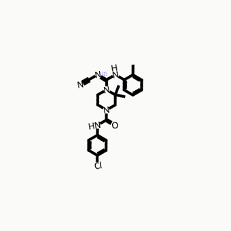 Cc1ccccc1N/C(=N/C#N)N1CCN(C(=O)Nc2ccc(Cl)cc2)CC1(C)C